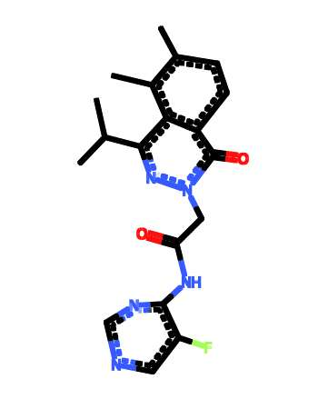 Cc1ccc2c(=O)n(CC(=O)Nc3ncncc3F)nc(C(C)C)c2c1C